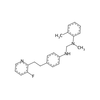 Cc1ccccc1N(C)CNc1ccc(CCc2ncccc2F)cc1